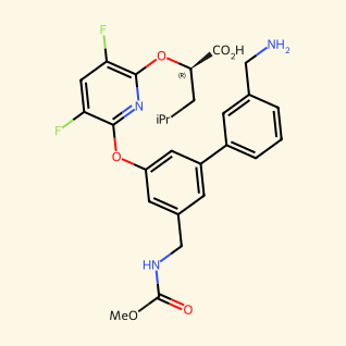 COC(=O)NCc1cc(Oc2nc(O[C@H](CC(C)C)C(=O)O)c(F)cc2F)cc(-c2cccc(CN)c2)c1